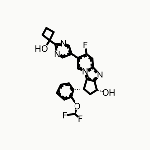 O[C@@H]1C[C@H](c2ccccc2OC(F)F)c2c1nc1cc(F)c(-c3cnc(C4(O)CCC4)nc3)cn21